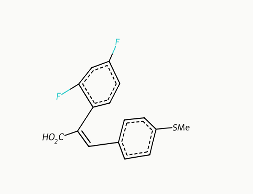 CSc1ccc(C=C(C(=O)O)c2ccc(F)cc2F)cc1